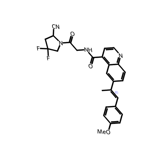 COc1ccc(/C=C(\C)c2ccc3nccc(C(=O)NCC(=O)N4CC(F)(F)CC4C#N)c3c2)cc1